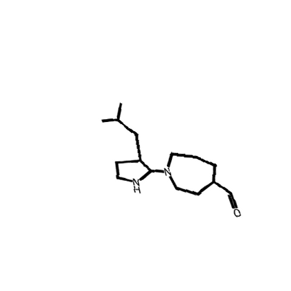 CC(C)CC1CCNC1N1CCCC(C=O)CC1